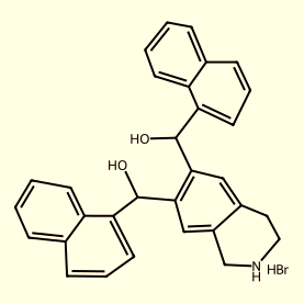 Br.OC(c1cc2c(cc1C(O)c1cccc3ccccc13)CNCC2)c1cccc2ccccc12